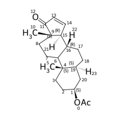 CC(=O)O[C@H]1CC[C@]2(C)C3CC[C@]4(C)C(=O)C=C[C@H]4[C@@H]3CC[C@H]2C1